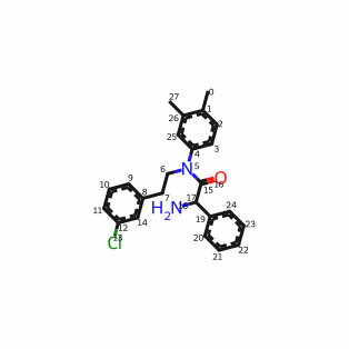 Cc1ccc(N(CCc2cccc(Cl)c2)C(=O)C(N)c2ccccc2)cc1C